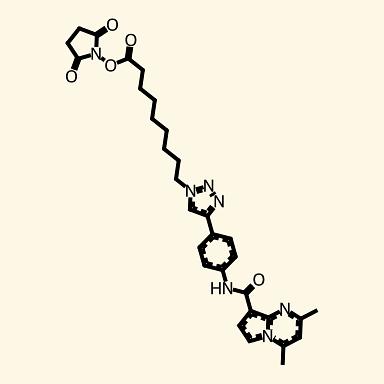 Cc1cc(C)n2ccc(C(=O)Nc3ccc(-c4cn(CCCCCCCCC(=O)ON5C(=O)CCC5=O)nn4)cc3)c2n1